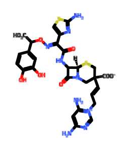 Nc1cc(N)[n+](CC=CC2(C(=O)[O-])CS[C@@H]3C(NC(=O)C(=NOC(C(=O)O)c4ccc(O)c(O)c4)c4csc(N)n4)C(=O)N3C2)cn1